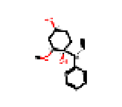 C=C[C@H](c1ccccc1)[C@@]1(O)CC[C@H](O)C[C@@H]1OC